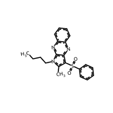 CCCCn1c(C)c(S(=O)(=O)c2ccccc2)c2nc3ccccc3nc21